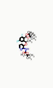 C[C@@H](Oc1cccnc1NC(=O)OC(C)(C)C)c1cc(F)cc(F)c1B1OC(C)(C)C(C)(C)O1